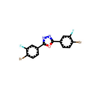 Fc1cc(-c2nnc(-c3ccc(Br)c(F)c3)o2)ccc1Br